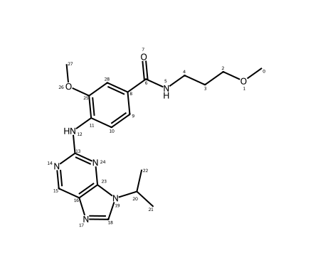 COCCCNC(=O)c1ccc(Nc2ncc3ncn(C(C)C)c3n2)c(OC)c1